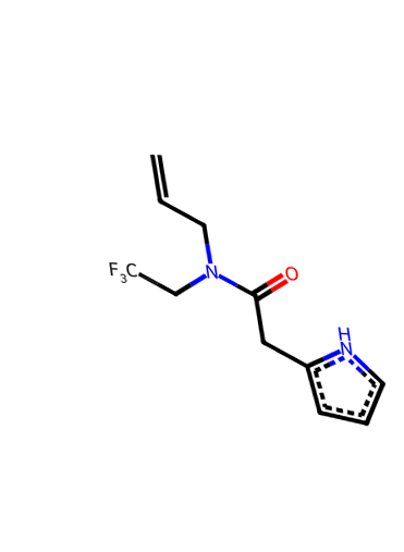 C=CCN(CC(F)(F)F)C(=O)Cc1ccc[nH]1